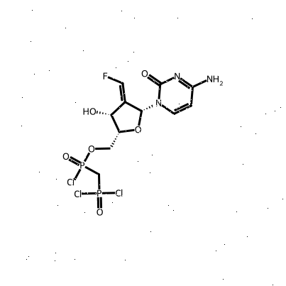 Nc1ccn([C@@H]2O[C@H](COP(=O)(Cl)CP(=O)(Cl)Cl)[C@H](O)/C2=C\F)c(=O)n1